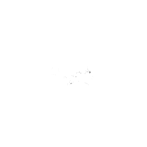 COc1ccccc1CNC1=NCC(C#N)C(NC[C@]23CC4C[C@H](C2)[C@@H](N[C@H]2CC[C@H](O)CC2)[C@@H](C4)C3)=N1